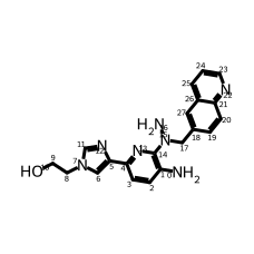 Nc1ccc(-c2cn(CCO)cn2)nc1N(N)Cc1ccc2ncccc2c1